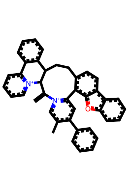 C=C1C2C(CCc3ccc4c(oc5ccccc54)c3-c3cc(-c4ccccc4)c(C)c[n+]31)c1ccccc1-c1cccc[n+]12